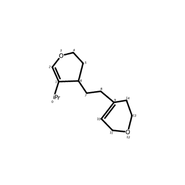 CC(C)C1=COCCC1CCC1=CCOCC1